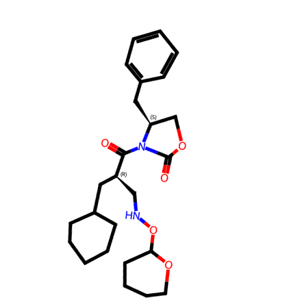 O=C1OC[C@H](Cc2ccccc2)N1C(=O)[C@@H](CNOC1CCCCO1)CC1CCCCC1